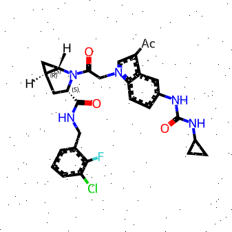 CC(=O)c1cn(CC(=O)N2[C@H](C(=O)NCc3cccc(Cl)c3F)C[C@H]3C[C@@H]32)c2ccc(NC(=O)NC3CC3)cc12